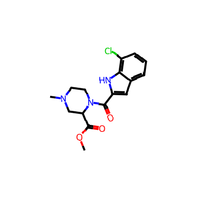 COC(=O)C1CN(C)CCN1C(=O)c1cc2cccc(Cl)c2[nH]1